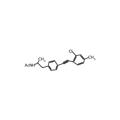 CC(=O)NC(C)Cc1ccc(C#Cc2ccc(C)cc2Cl)cc1